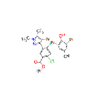 CC(C)OC(=O)c1cc(-c2nn(C)c(C(F)(F)F)c2Br)c(F)cc1Cl.N#Cc1cc(Br)c(O)c(Br)c1